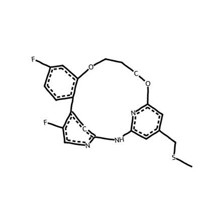 CSCc1cc2nc(c1)OCCCOc1cc(F)ccc1-c1cc(ncc1F)N2